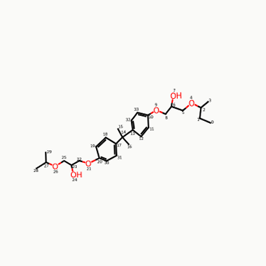 CCC(C)OCC(O)COc1ccc(C(C)(C)c2ccc(OCC(O)COC(C)C)cc2)cc1